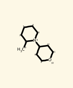 CC1CCCCN1C1CCOCC1